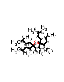 CCCC(C)C(CC)(CCC(C)C)OC(CC)(CCC(C)C)C(C)CCC